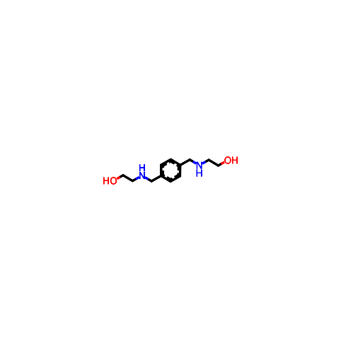 OCCNCc1ccc(CNCCO)cc1